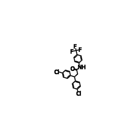 O=C(CC(c1ccc(Cl)cc1)c1ccc(Cl)cc1)Nc1ccc(C(F)(F)F)cc1